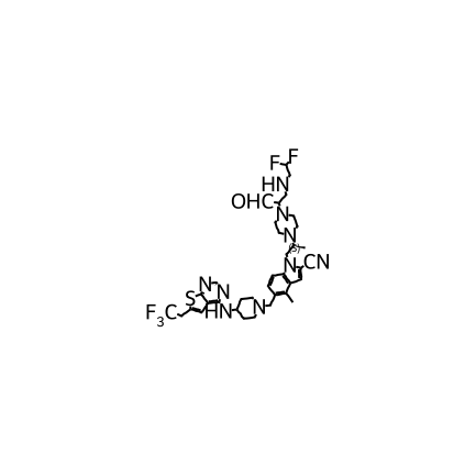 Cc1c(CN2CCC(Nc3ncnc4sc(CC(F)(F)F)cc34)CC2)ccc2c1cc(C#N)n2C[C@H](C)N1CCN(C(C=O)CNCC(F)F)CC1